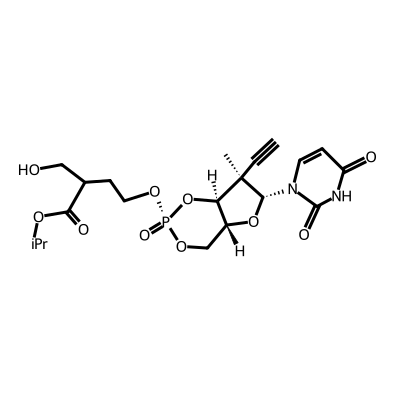 C#C[C@]1(C)[C@@H]2O[P@@](=O)(OCCC(CO)C(=O)OC(C)C)OC[C@H]2O[C@H]1n1ccc(=O)[nH]c1=O